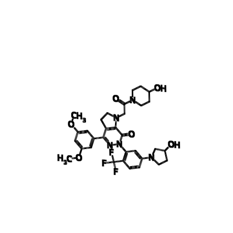 COc1cc(OC)cc(-c2nn(-c3cc(N4CCC(O)C4)ccc3C(F)(F)F)c(=O)c3c2CCN3CC(=O)N2CCC(O)CC2)c1